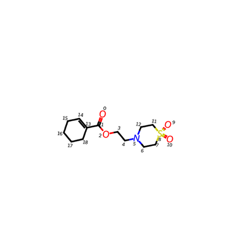 O=C(OCCN1CCS(=O)(=O)CC1)C1=CCCCC1